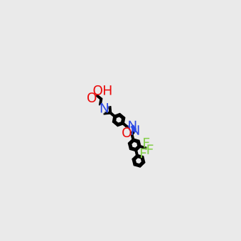 O=C(O)CCN1CC(c2ccc(-c3nnc(-c4ccc(-c5ccccc5)c(C(F)(F)F)c4)o3)cc2)C1